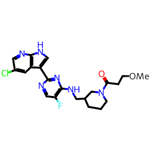 COCCC(=O)N1CCCC(CNc2nc(-c3c[nH]c4ncc(Cl)cc34)ncc2F)C1